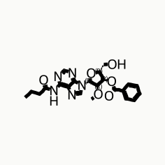 CCCC(=O)Nc1ncnc2c1ncn2[C@@H]1O[C@H](CO)[C@@H](OC(=O)c2ccccc2)[C@H]1OC